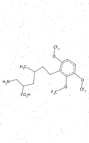 CC(CCc1c(OC(F)(F)F)ccc(OC(F)(F)F)c1OC(F)(F)F)CC(CN)C(=O)O